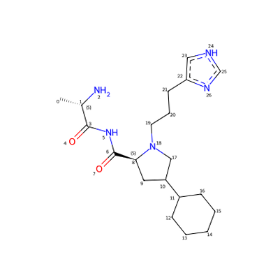 C[C@H](N)C(=O)NC(=O)[C@@H]1CC(C2CCCCC2)CN1CCCc1c[nH]cn1